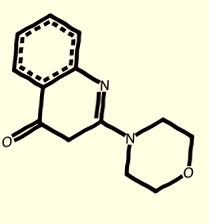 O=C1CC(N2CCOCC2)=Nc2ccccc21